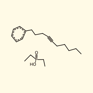 CCCCCC#CCCCc1ccccc1.CCP(=O)(O)CC